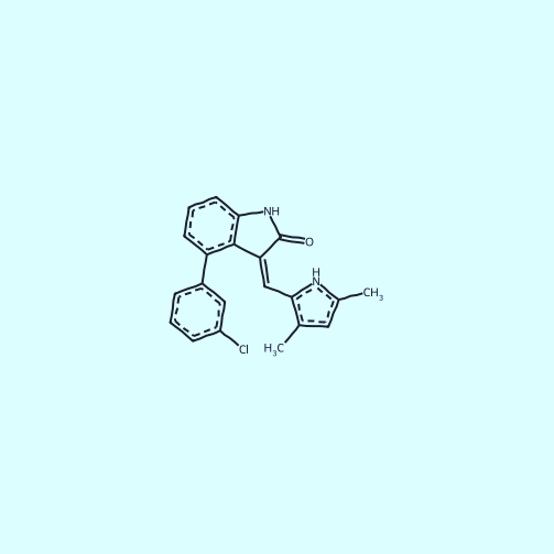 Cc1cc(C)c(/C=C2\C(=O)Nc3cccc(-c4cccc(Cl)c4)c32)[nH]1